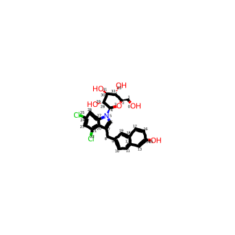 OC[C@H]1O[C@@H](n2cc(Cc3ccc4cc(O)ccc4c3)c3c(Cl)cc(Cl)cc32)[C@H](O)[C@@H](O)[C@@H]1O